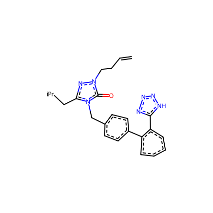 C=CCCn1nc(CC(C)C)n(Cc2ccc(-c3ccccc3-c3nnn[nH]3)cc2)c1=O